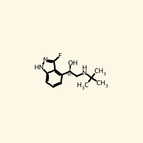 CC(C)(C)NC[C@H](O)c1cccc2[nH]nc(F)c12